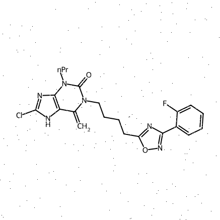 C=C1c2[nH]c(Cl)nc2N(CCC)C(=O)N1CCCCc1nc(-c2ccccc2F)no1